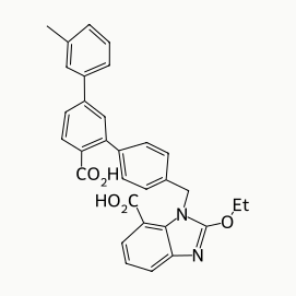 CCOc1nc2cccc(C(=O)O)c2n1Cc1ccc(-c2cc(-c3cccc(C)c3)ccc2C(=O)O)cc1